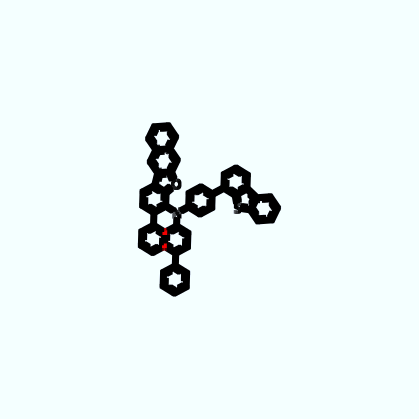 c1ccc(-c2ccc(N(c3ccc(-c4cccc5c4sc4ccccc45)cc3)c3c(-c4ccccc4)ccc4c3oc3cc5ccccc5cc34)cc2)cc1